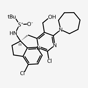 CC(C)(C)[S+]([O-])N[C@]1(Cc2nc(Cl)nc(N3CCCCCC3)c2CO)CCc2c(Cl)cccc21